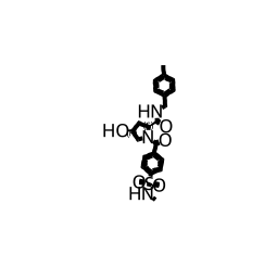 CNS(=O)(=O)c1ccc(C(=O)N2C[C@H](O)C[C@H]2C(=O)NCc2ccc(C)cc2)cc1